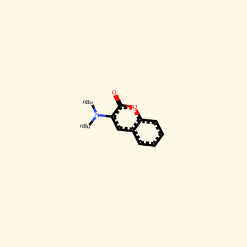 CCCCN(CCCC)c1cc2ccccc2oc1=O